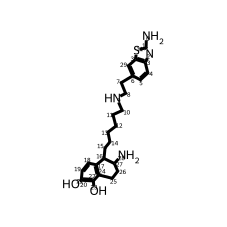 Nc1nc2ccc(CCNCCCCCCC3c4ccc(O)c(O)c4CCC3N)cc2s1